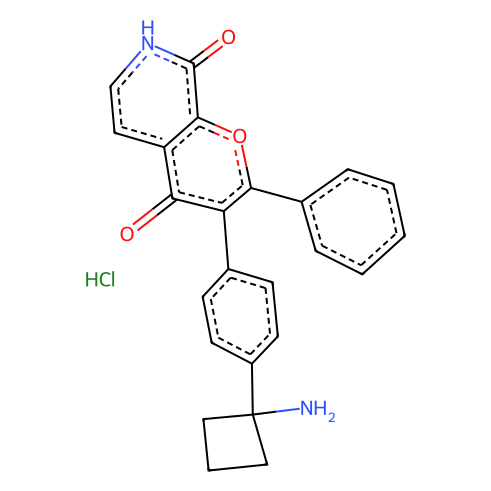 Cl.NC1(c2ccc(-c3c(-c4ccccc4)oc4c(=O)[nH]ccc4c3=O)cc2)CCC1